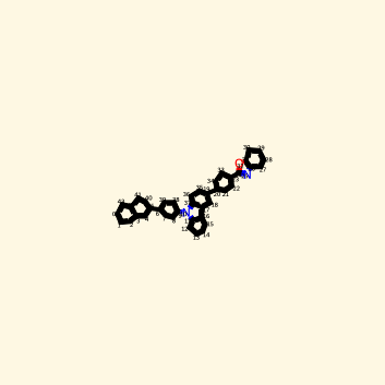 c1ccc2cc(-c3ccc(-n4c5ccccc5c5cc(-c6ccc(-c7nc8ccccc8o7)cc6)ccc54)cc3)ccc2c1